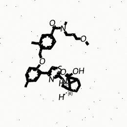 COCCCN(C)C(=O)c1ccc(COc2ccc(C)cc2-c2csc(N3CC4CC[C@@H](C3)[C@H]4C(=O)O)n2)c(C)c1